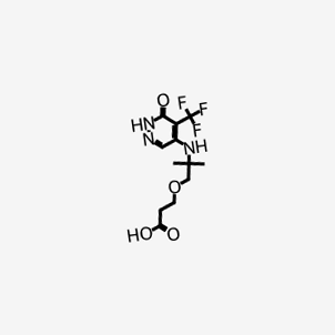 CC(C)(COCCC(=O)O)Nc1cn[nH]c(=O)c1C(F)(F)F